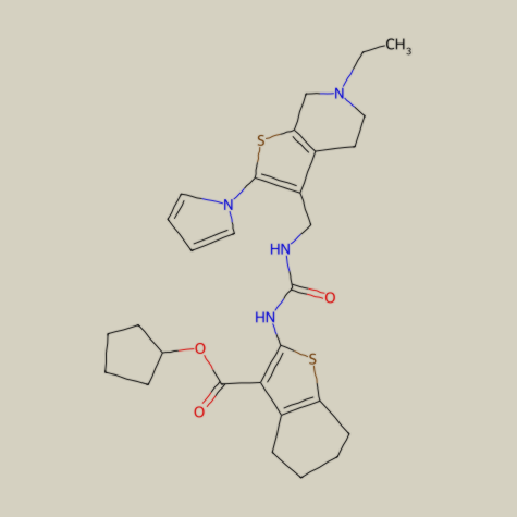 CCN1CCc2c(sc(-n3cccc3)c2CNC(=O)Nc2sc3c(c2C(=O)OC2CCCC2)CCCC3)C1